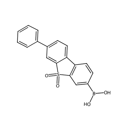 O=S1(=O)c2cc(B(O)O)ccc2-c2ccc(-c3ccccc3)cc21